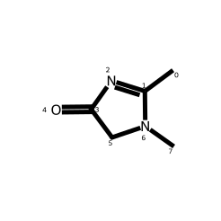 CC1=NC(=O)CN1C